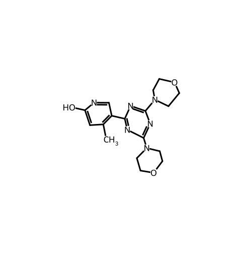 Cc1cc(O)ncc1-c1nc(N2CCOCC2)nc(N2CCOCC2)n1